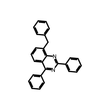 c1ccc(Cc2cccc3c(-c4ccccc4)nc(-c4ccccc4)nc23)cc1